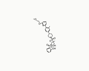 COCCOc1cccc(-c2ccc(C3CCN(S(=O)(=O)C(C)(CO)CNC(=O)c4ccccc4O)CC3)cc2C)n1